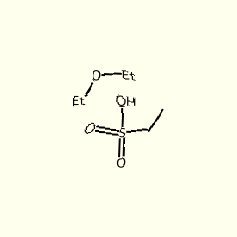 CCOCC.CCS(=O)(=O)O